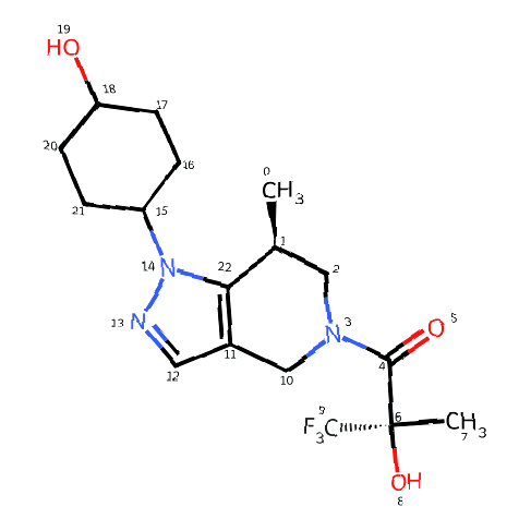 C[C@H]1CN(C(=O)[C@@](C)(O)C(F)(F)F)Cc2cnn(C3CCC(O)CC3)c21